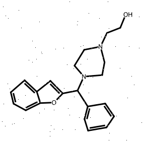 OCCN1CCN(C(c2ccccc2)c2cc3ccccc3o2)CC1